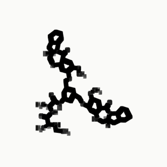 CCN[C@@H](C)C(=O)N[C@H](C)C(=O)Nc1cc(COc2cc3c(cc2OC)C(=O)N2c4ccccc4C[C@H]2C=N3)cc(COc2cc3c(cc2OC)C(=O)N2c4ccccc4C[C@H]2CN3)c1